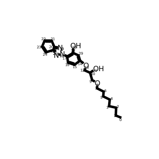 CCCCCCCCOCC(O)COc1ccc(-n2nc3ccccc3n2)c(O)c1